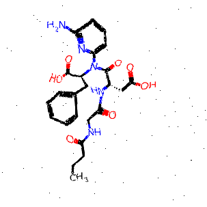 CCCC(=O)NCC(=O)N[C@@H](CC(=O)O)C(=O)N(c1cccc(N)n1)[C@@H](Cc1ccccc1)C(=O)O